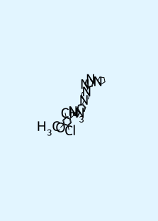 COc1cc(C)c(-c2cn3ccc(N4CCN(c5cc(N6CCCC6)ncn5)CC4)cc3n2)cc1Cl